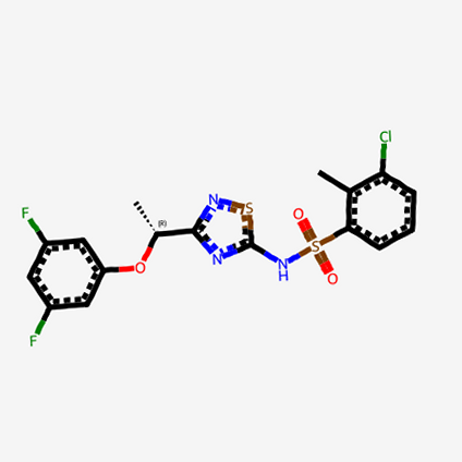 Cc1c(Cl)cccc1S(=O)(=O)Nc1nc([C@@H](C)Oc2cc(F)cc(F)c2)ns1